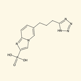 O=P(O)(O)c1cn2cc(CCCc3nnn[nH]3)ccc2n1